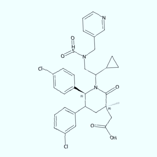 C[C@]1(CC(=O)O)CC(c2cccc(Cl)c2)[C@@H](c2ccc(Cl)cc2)N(C(CN(Cc2cccnc2)[SH](=O)=O)C2CC2)C1=O